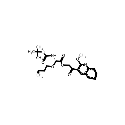 C=CCCO[C@H](NC(=O)OC(C)(C)C)C(=O)OCC(=O)c1cc2ccccc2nc1OC